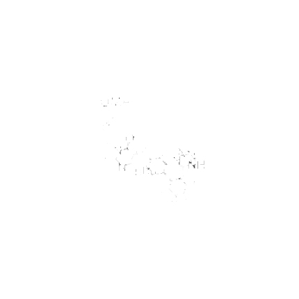 CCCCc1nc(C)n(CCOCCOC)c(=O)c1Cc1ccc(-c2ccccc2-c2nnn[nH]2)cc1